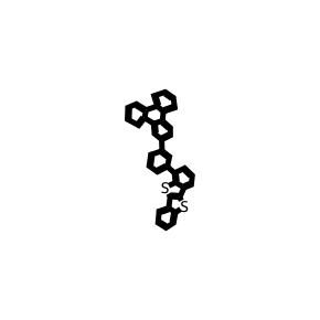 c1cc(-c2ccc3c4ccccc4c4ccccc4c3c2)cc(-c2cccc3c2sc2c4ccccc4sc32)c1